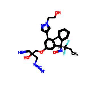 CCC(F)(F)[C@@]1(N=O)c2ccccc2-c2c(-c3cnn(CCO)c3)cc(OCC(O)(C=N)CN=[N+]=[N-])cc21